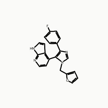 Fc1ccc(-c2ncn(Cc3ccco3)c2-c2ccnc3[nH]ccc23)cc1